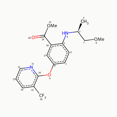 COC[C@H](C)Nc1ccc(Oc2ncccc2C(F)(F)F)cc1C(=O)OC